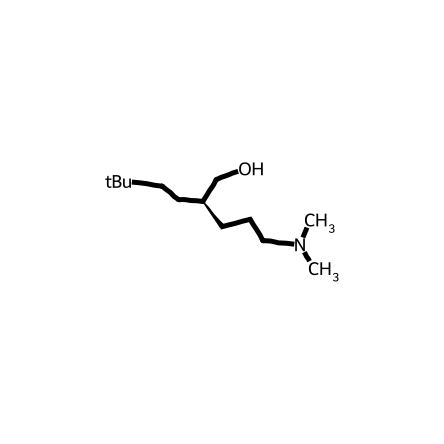 CN(C)CCC[C@H](CO)CCC(C)(C)C